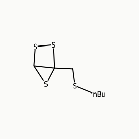 CCCCSCC12SSC1S2